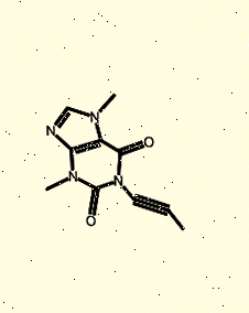 CC#Cn1c(=O)c2c(ncn2C)n(C)c1=O